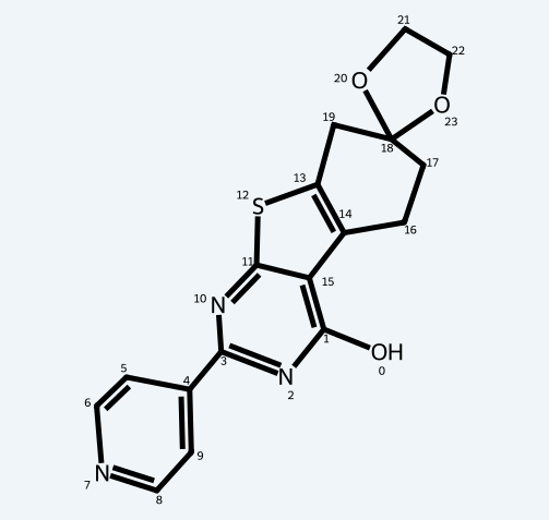 Oc1nc(-c2ccncc2)nc2sc3c(c12)CCC1(C3)OCCO1